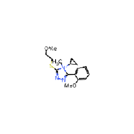 COCCSC1=NN=C(c2ccccc2OC)[N+]1(C)C1CC1